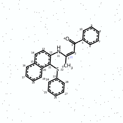 C/C(=C/C(=O)c1ccccc1)Nc1ccc2ccccc2c1Sc1ccccc1